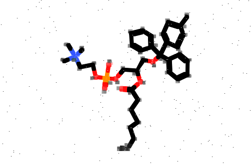 CCCCCCCCCCCCCCCC(=O)O[C@H](COC(c1ccccc1)(c1ccccc1)c1ccc(C)cc1)COP(=O)([O-])OCC[N+](C)(C)C